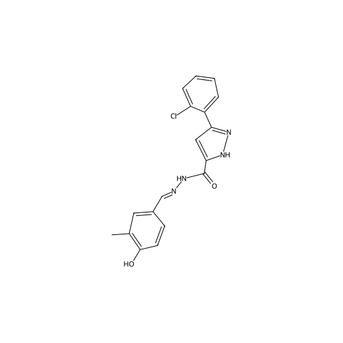 Cc1cc(/C=N/NC(=O)c2cc(-c3ccccc3Cl)n[nH]2)ccc1O